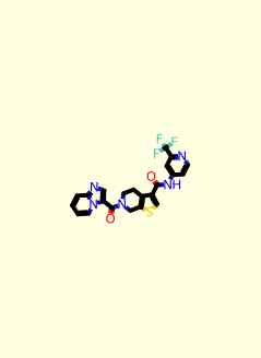 O=C(Nc1ccnc(C(F)(F)F)c1)c1csc2c1CCN(C(=O)c1cnc3ccccn13)C2